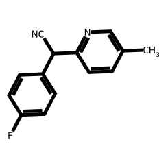 Cc1ccc(C(C#N)c2ccc(F)cc2)nc1